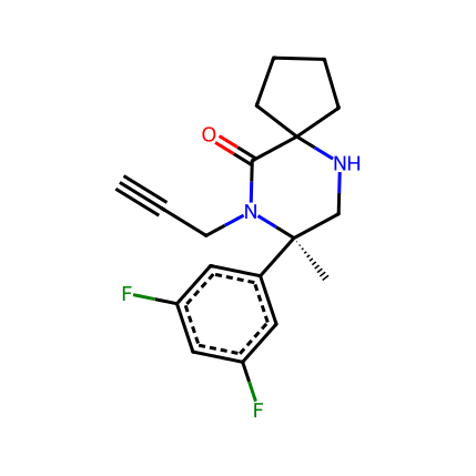 C#CCN1C(=O)C2(CCCC2)NC[C@@]1(C)c1cc(F)cc(F)c1